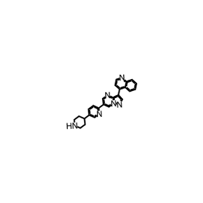 c1ccc2c(-c3cnn4cc(-c5ccc(C6CCNCC6)cn5)cnc34)ccnc2c1